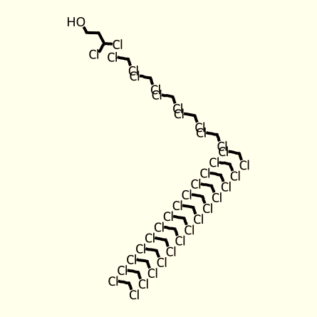 ClCCl.ClCCl.ClCCl.ClCCl.ClCCl.ClCCl.ClCCl.ClCCl.ClCCl.ClCCl.ClCCl.ClCCl.ClCCl.ClCCl.ClCCl.ClCCl.ClCCl.ClCCl.OCCC(Cl)Cl